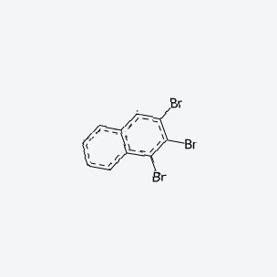 Brc1[c]c2ccccc2c(Br)c1Br